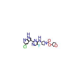 O=C(O[C@H]1CCOC1)N1CC[C@H](Nc2nc(-c3c[nH]c4ncc(Cl)cc34)ncc2F)C1